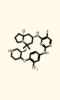 CC1(C)C[C@H](Nc2nc(Nc3ccc(OC4CCNC[C@H]4F)c(C(F)(F)F)c3)ncc2F)C[C@@H]2CCCN21